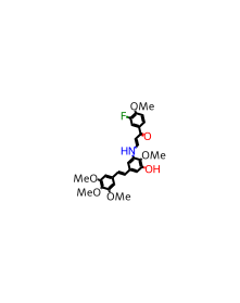 COc1ccc(C(=O)C=CNc2cc(C=Cc3cc(OC)c(OC)c(OC)c3)cc(O)c2OC)cc1F